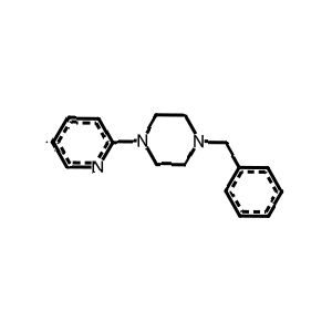 [c]1ccc(N2CCN(Cc3ccccc3)CC2)nc1